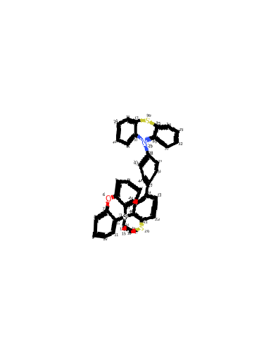 c1ccc2c(c1)Oc1ccccc1[Si]21c2ccccc2Sc2ccc(-c3ccc(N4c5ccccc5Sc5ccccc54)cc3)cc21